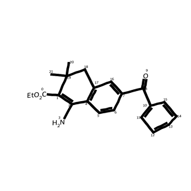 CCOC(=O)C1=C(N)c2ccc(C(=O)c3ccccc3)cc2CC1(C)C